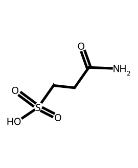 NC(=O)C[CH]S(=O)(=O)O